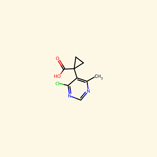 Cc1ncnc(Cl)c1C1(C(=O)O)CC1